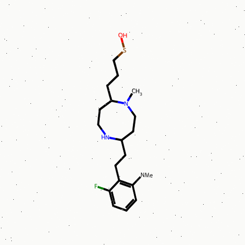 CNc1cccc(F)c1CCC1CCN(C)C(CCCSO)CCN1